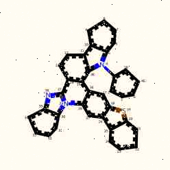 c1ccc(-n2c3ccccc3c3ccc4c(c5cc6sc7ccccc7c6cc5n5c6ccccc6nc45)c32)cc1